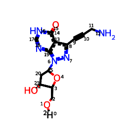 [2H]OCC1OC(n2nc(C#CCN)c3c(=O)[nH]cnc32)CC1O